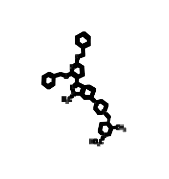 C[C@H]1CN(C(=O)O)CC[C@@H]1CN1CCN(c2ccc3c(-c4ccc(OCc5ccccc5)nc4OCc4ccccc4)nn(C)c3c2)CC1